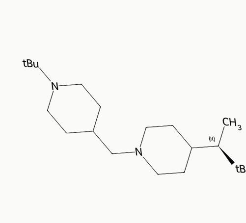 C[C@H](C1CCN(CC2CCN(C(C)(C)C)CC2)CC1)C(C)(C)C